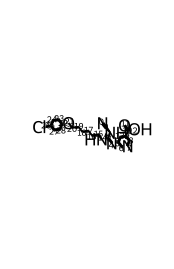 N#CNC(=Nc1cncc(C(=O)O)c1)NCCCCCCOc1ccc(Cl)cc1